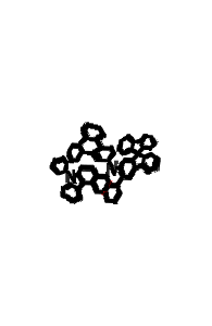 c1ccc(-c2cc3c(cc2N(c2ccc4c5ccccc5c5ccccc5c4c2)c2cccc4c2ccc2c4c4ccccc4n2-c2ccccc2)C2(c4ccccc4-c4ccccc42)c2ccccc2-3)cc1